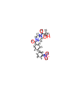 O=C(c1ccc(-c2cccc([N+](=O)[O-])c2)cc1)N1CCN(C(=O)C2(O)CC2)CC1